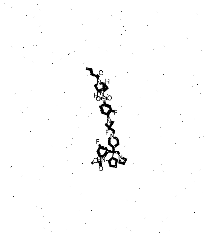 C/C=C/C(=O)N1C[C@@H]2C[C@H]1CN2S(=O)(=O)c1ccc(N2CC(F)(CN3CCC(C(CN4CCC4)(c4cccc(F)c4)[C@H]4CCC[C@@H]4NC(=O)OC)CC3)C2)c(F)c1